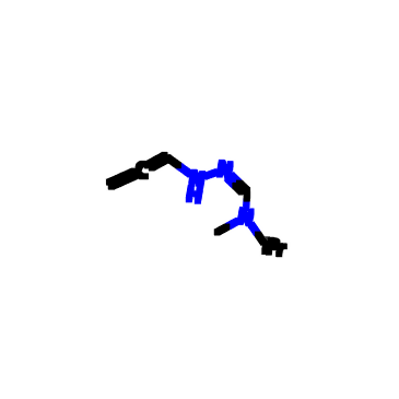 C=C=CN/N=C\N(C)C(C)C